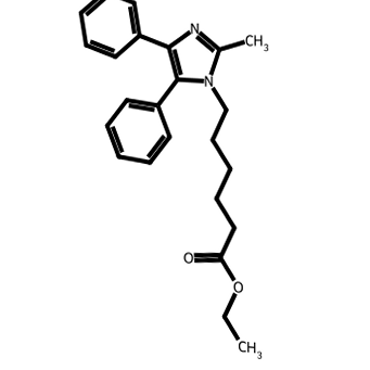 CCOC(=O)CCCCCn1c(C)nc(-c2ccccc2)c1-c1ccccc1